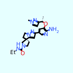 CCNC(=O)N1CC[C@@]2(CCn3nc(-c4cnc(N)c(O[C@@H](C)c5ccn(C)n5)c4)cc32)C1